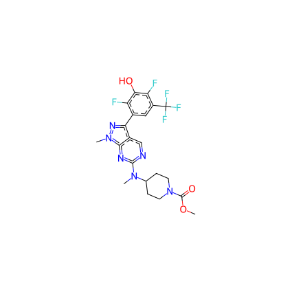 COC(=O)N1CCC(N(C)c2ncc3c(-c4cc(C(F)(F)F)c(F)c(O)c4F)nn(C)c3n2)CC1